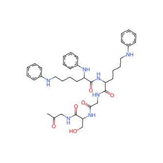 CC(=O)CNC(=O)C(CO)NC(=O)CNC(=O)C(CCCCNc1ccccc1)NC(=O)C(CCCCNc1ccccc1)Nc1ccccc1